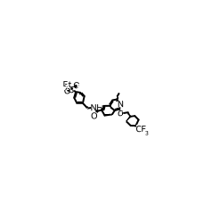 CCS(=O)(=O)c1ccc(CNC(=O)c2ccc3c(OCC4CCC(C(F)(F)F)CC4)nc(C)cc3c2)cc1